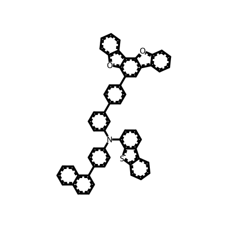 c1cc(-c2ccc(-c3cc4c5ccccc5oc4c4c3oc3ccccc34)cc2)cc(N(c2ccc(-c3cccc4ccccc34)cc2)c2cccc3c2sc2ccccc23)c1